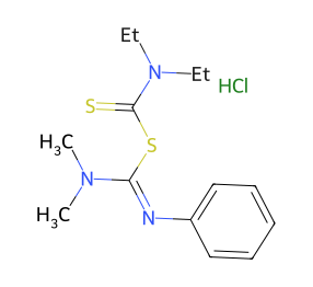 CCN(CC)C(=S)SC(=Nc1ccccc1)N(C)C.Cl